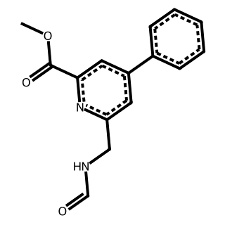 COC(=O)c1cc(-c2ccccc2)cc(CNC=O)n1